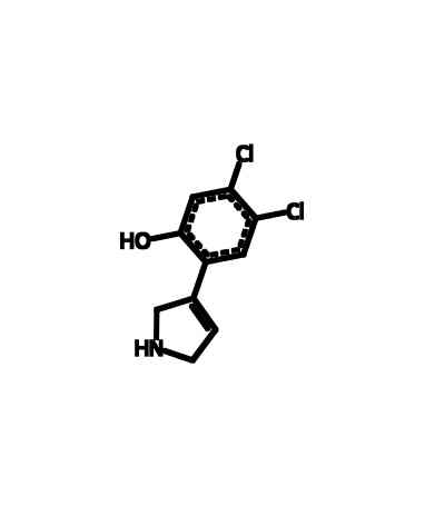 Oc1cc(Cl)c(Cl)cc1C1=CCNC1